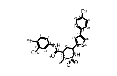 CN1C(C(=O)Nc2ccc(F)c(Cl)c2)CC(c2cc(-c3ccc(F)cn3)cs2)NS1(=O)=O